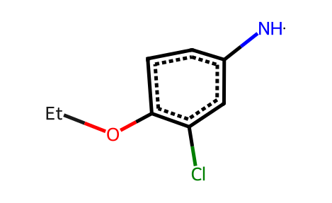 CCOc1ccc([NH])cc1Cl